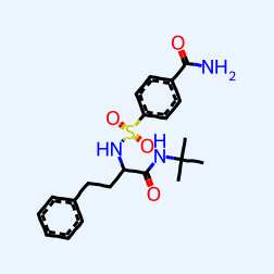 CC(C)(C)NC(=O)C(CCc1ccccc1)NS(=O)(=O)c1ccc(C(N)=O)cc1